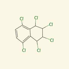 Clc1ccc(Cl)c2c1C(Cl)C(Cl)C(Cl)C2Cl